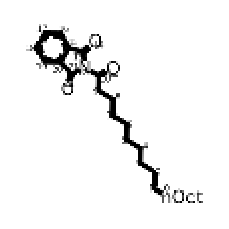 CCCCCCCCC=CCCCCCCCC(=O)N1C(=O)c2ccccc2C1=O